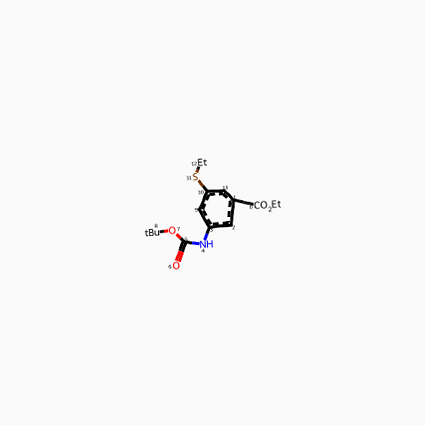 CCOC(=O)c1cc(NC(=O)OC(C)(C)C)cc(SCC)c1